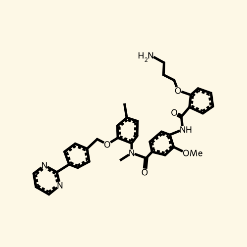 COc1cc(C(=O)N(C)c2ccc(C)cc2OCc2ccc(-c3ncccn3)cc2)ccc1NC(=O)c1ccccc1OCCCN